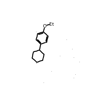 CCOc1ccc(C2CC[CH]CC2)cc1